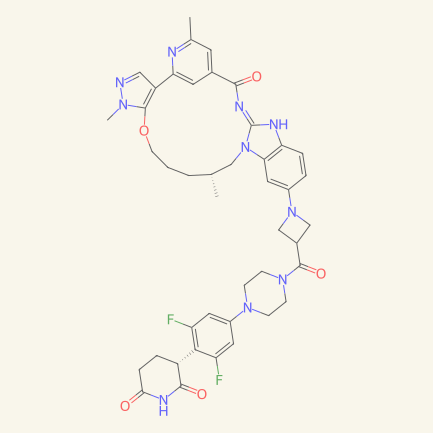 Cc1cc2cc(n1)-c1cnn(C)c1OCCC[C@@H](C)CN1/C(=N/C2=O)Nc2ccc(N3CC(C(=O)N4CCN(c5cc(F)c([C@H]6CCC(=O)NC6=O)c(F)c5)CC4)C3)cc21